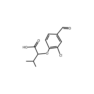 CC(C)C(Oc1ccc(C=O)cc1Cl)C(=O)O